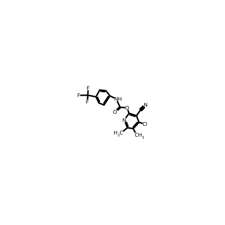 Cc1nc(OC(=O)Nc2ccc(C(F)(F)F)cc2)c(C#N)c(Cl)c1C